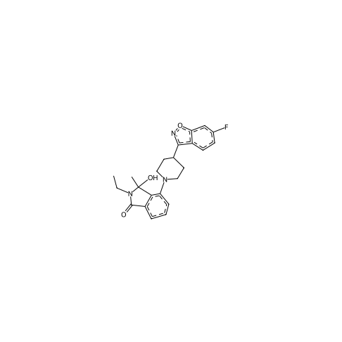 CCN1C(=O)c2cccc(N3CCC(c4noc5cc(F)ccc45)CC3)c2C1(C)O